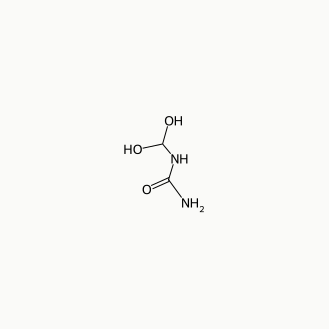 NC(=O)NC(O)O